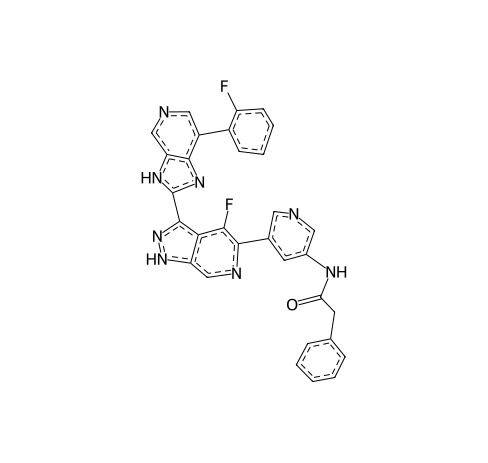 O=C(Cc1ccccc1)Nc1cncc(-c2ncc3[nH]nc(-c4nc5c(-c6ccccc6F)cncc5[nH]4)c3c2F)c1